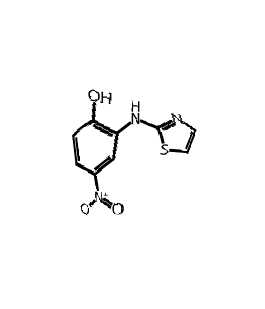 O=[N+]([O-])c1ccc(O)c(Nc2nccs2)c1